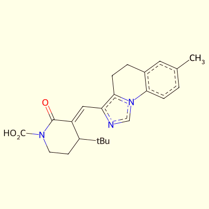 Cc1ccc2c(c1)CCc1c(C=C3C(=O)N(C(=O)O)CCC3C(C)(C)C)ncn1-2